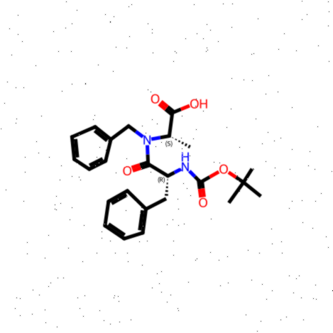 C[C@@H](C(=O)O)N(Cc1ccccc1)C(=O)[C@@H](Cc1ccccc1)NC(=O)OC(C)(C)C